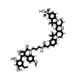 CCc1cc(-c2n[nH]c(C(=O)NCCCNC(=O)Cc3ccc4c(c3)C(C)(C)C3C5C=C6C7=[N+](CCC6OC5CCN43)c3ccc(S(=O)(=O)O)cc3C7(C)C)c2-c2ccc(OC)cc2)c(O)cc1O